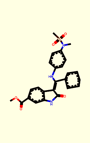 COC(=O)c1ccc2c(c1)NC(=O)C2=C(Nc1ccc(N(C)S(C)(=O)=O)cc1)c1ccccc1